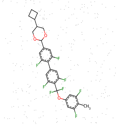 Cc1c(F)cc(OC(F)(F)c2c(F)cc(-c3c(F)cc(C4OCC(C5CCC5)CO4)cc3F)cc2F)cc1F